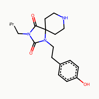 CC(C)CN1C(=O)N(CCc2ccc(O)cc2)C2(CCNCC2)C1=O